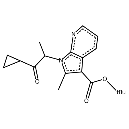 Cc1c(C(=O)OC(C)(C)C)c2cccnc2n1C(C)C(=O)C1CC1